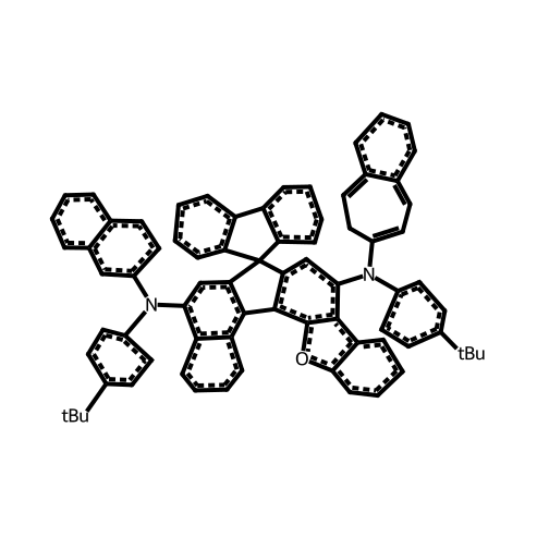 CC(C)(C)c1ccc(N(C2=CC=c3ccccc3=CC2)c2cc3c(c4oc5ccccc5c24)-c2c(cc(N(c4ccc(C(C)(C)C)cc4)c4ccc5ccccc5c4)c4ccccc24)C32c3ccccc3-c3ccccc32)cc1